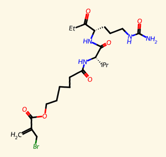 C=C(CBr)C(=O)OCCCCCC(=O)N[C@H](C(=O)N[C@@H](CCCNC(N)=O)C(=O)CC)C(C)C